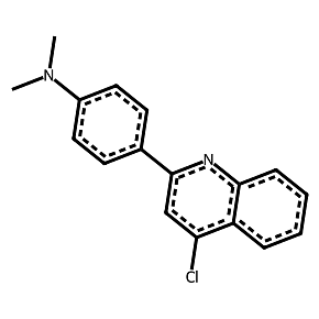 CN(C)c1ccc(-c2cc(Cl)c3ccccc3n2)cc1